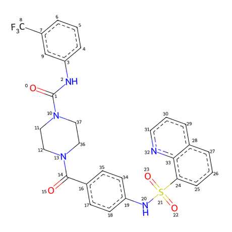 O=C(Nc1cccc(C(F)(F)F)c1)N1CCN(C(=O)c2ccc(NS(=O)(=O)c3cccc4cccnc34)cc2)CC1